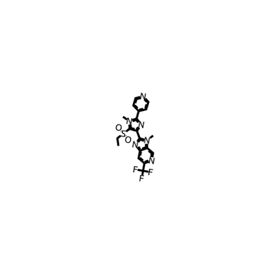 CCS(=O)(=O)c1c(-c2nc3cc(C(F)(F)F)ncc3n2C)nc(-c2ccncc2)n1C